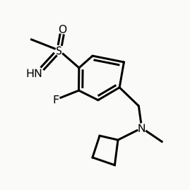 CN(Cc1ccc(S(C)(=N)=O)c(F)c1)C1CCC1